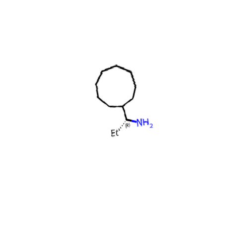 CC[C@@H](N)C1CCCCCCCC1